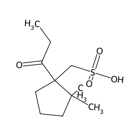 CCC(=O)C1(CS(=O)(=O)O)CCCC1(C)C